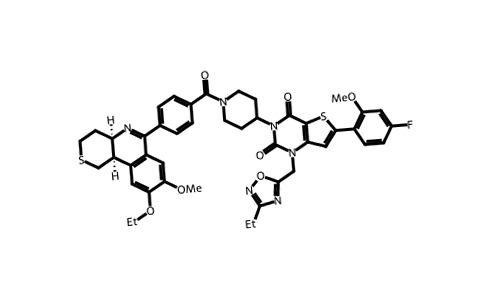 CCOc1cc2c(cc1OC)C(c1ccc(C(=O)N3CCC(n4c(=O)c5sc(-c6ccc(F)cc6OC)cc5n(Cc5nc(CC)no5)c4=O)CC3)cc1)=N[C@@H]1CCSC[C@H]21